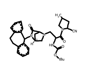 CC1CC(C#N)N(C(=O)C(CN2C[C@@H]3CC2C(=O)N3C2c3ccccc3CCc3ccccc32)NC(=O)OC(C)(C)C)C1